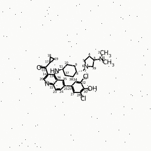 CN(C)C1CCN(C[C@H]2CC[C@H](Nc3c(C(=O)C4CC4)cnc4ccc(-c5cc(Cl)c(O)c(Cl)c5)cc34)CC2)C1